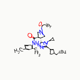 Cc1ccc(NC(=O)[C@H]2CN(C(=O)C(C)C)C[C@@H]2c2nnc([C@H]3C[C@@H](CC(C)(C)C)C3)n2C2CC2)c(C)c1